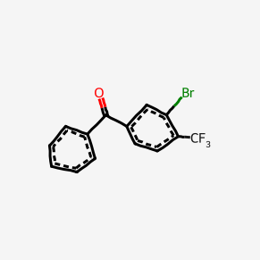 O=C(c1ccccc1)c1ccc(C(F)(F)F)c(Br)c1